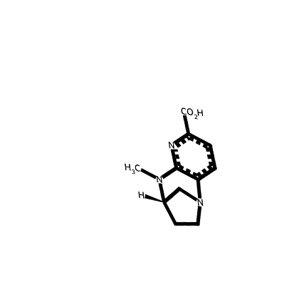 CN1c2nc(C(=O)O)ccc2N2CC[C@H]1C2